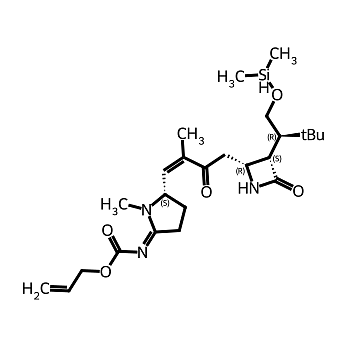 C=CCOC(=O)N=C1CC[C@@H](C=C(C)C(=O)C[C@H]2NC(=O)[C@H]2[C@@H](CO[SiH](C)C)C(C)(C)C)N1C